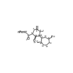 CCCCCC(Cl)C1CNC(C)N(C2CC(F)CCC[C@H]2C)C1=O